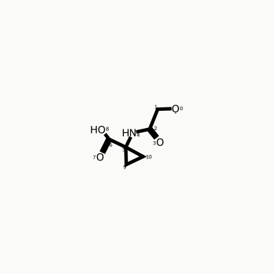 [O]CC(=O)NC1(C(=O)O)CC1